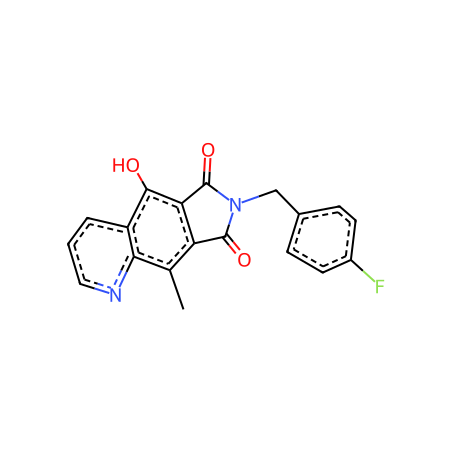 Cc1c2c(c(O)c3cccnc13)C(=O)N(Cc1ccc(F)cc1)C2=O